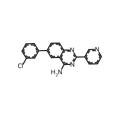 Nc1nc(-c2cccnc2)nc2ccc(-c3cccc(Cl)c3)cc12